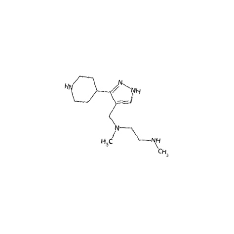 CNCCN(C)Cc1c[nH]nc1C1CCNCC1